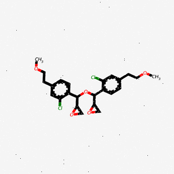 COCCc1ccc(C(OC(c2ccc(CCOC)cc2Cl)C2CO2)C2CO2)c(Cl)c1